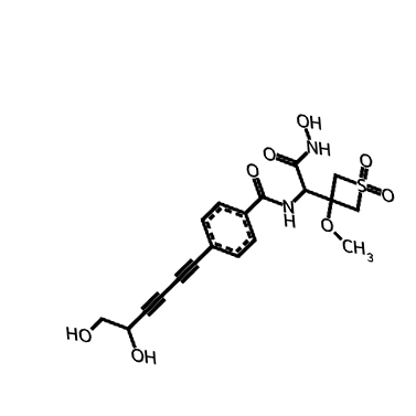 COC1(C(NC(=O)c2ccc(C#CC#CC(O)CO)cc2)C(=O)NO)CS(=O)(=O)C1